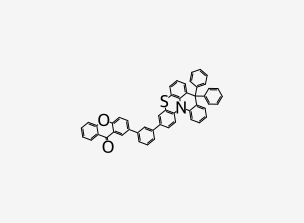 O=c1c2ccccc2oc2ccc(-c3cccc(-c4ccc5c(c4)Sc4cccc6c4N5c4ccccc4C6(c4ccccc4)c4ccccc4)c3)cc12